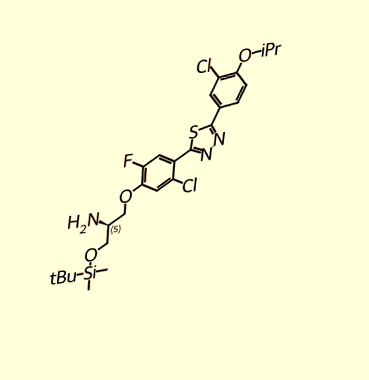 CC(C)Oc1ccc(-c2nnc(-c3cc(F)c(OC[C@H](N)CO[Si](C)(C)C(C)(C)C)cc3Cl)s2)cc1Cl